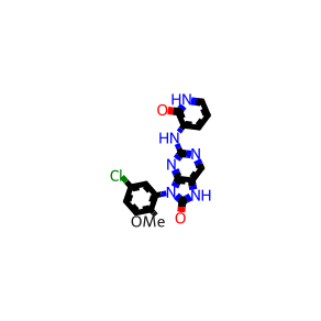 COc1ccc(Cl)cc1-n1c(=O)[nH]c2cnc(Nc3ccc[nH]c3=O)nc21